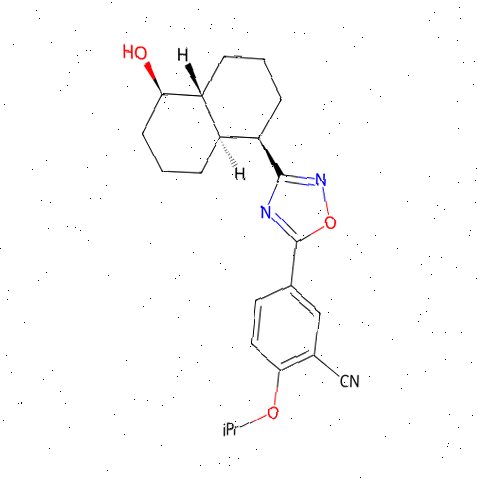 CC(C)Oc1ccc(-c2nc([C@@H]3CCC[C@@H]4[C@@H]3CCC[C@H]4O)no2)cc1C#N